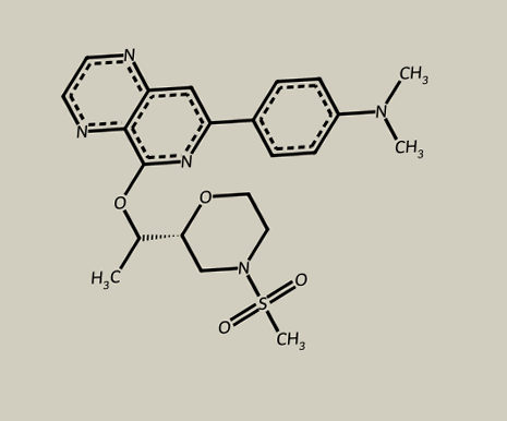 CC(Oc1nc(-c2ccc(N(C)C)cc2)cc2nccnc12)[C@H]1CN(S(C)(=O)=O)CCO1